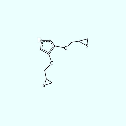 c1[te]cc(OCC2CS2)c1OCC1CS1